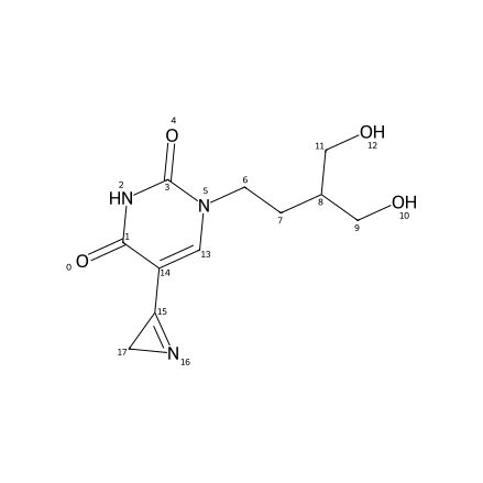 O=c1[nH]c(=O)n(CCC(CO)CO)cc1C1=NC1